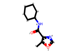 Cc1ocnc1C(=O)NC1CCCCC1